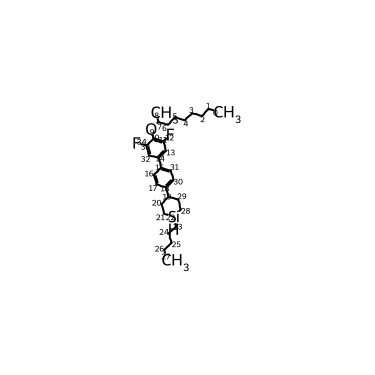 CCCCCCCC(C)Oc1c(F)cc(-c2ccc(C3CC[SiH](CCCCC)CC3)cc2)cc1F